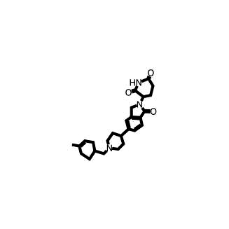 CC1=CCC(CN2CCC(c3ccc4c(c3)CN(C3CCC(=O)NC3=O)C4=O)CC2)CC1